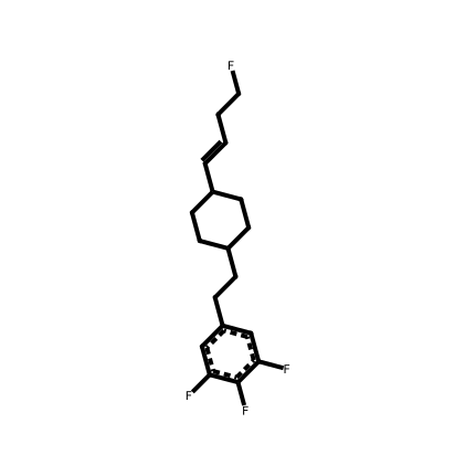 FCC/C=C/C1CCC(CCc2cc(F)c(F)c(F)c2)CC1